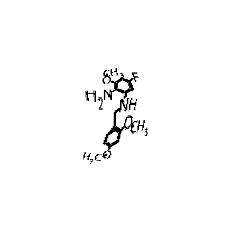 COc1ccc(CNc2cc(F)cc(OC)c2N)c(OC)c1